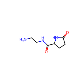 NCCNC(=O)C1CCC(=O)N1